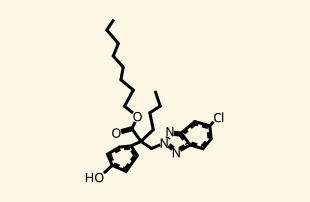 CCCCCCCCOC(=O)C(CCCC)(Cn1nc2ccc(Cl)cc2n1)c1ccc(O)cc1